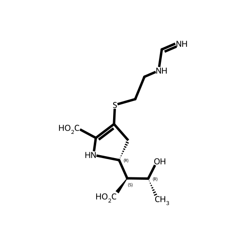 C[C@@H](O)[C@@H](C(=O)O)[C@H]1CC(SCCNC=N)=C(C(=O)O)N1